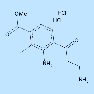 COC(=O)c1ccc(C(=O)CCN)c(N)c1C.Cl.Cl